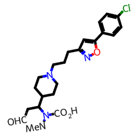 CNN(C(=O)O)C(CC=O)C1CCN(CCCc2cc(-c3ccc(Cl)cc3)on2)CC1